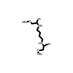 CCCCOCC(NCCCCNC(COCCCC)C(C)C)C(C)C